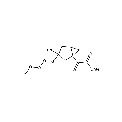 [C-]#[N+]C1(SOOOCC)CC2CC2(C(=C)C(=O)OC)C1